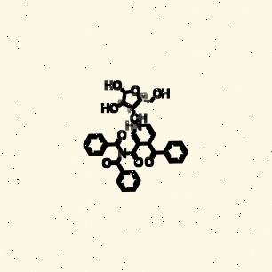 O=C(c1ccccc1)C1C=CNC=C1C(=O)N(C(=O)c1ccccc1)C(=O)c1ccccc1.OC[C@H]1OC(O)[C@H](O)[C@@H]1O